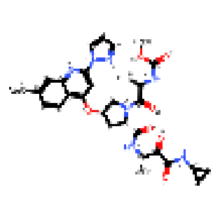 CCC[C@H](NC(=O)[C@@H]1C[C@@H](Oc2cc(-n3cccn3)nc3cc(OC)ccc23)CN1C(=O)C(NC(=O)OC(C)(C)C)C(C)(C)C)C(=O)C(=O)NC1CC1